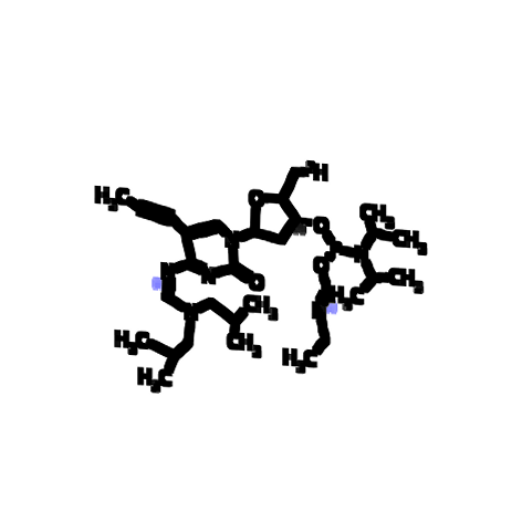 [2H]CC1OC(n2cc(C#CC)c(/N=C\N(CC(C)C)CC(C)C)nc2=O)C[C@H]1OP(O/C=N/CC)N(C(C)C)C(C)C